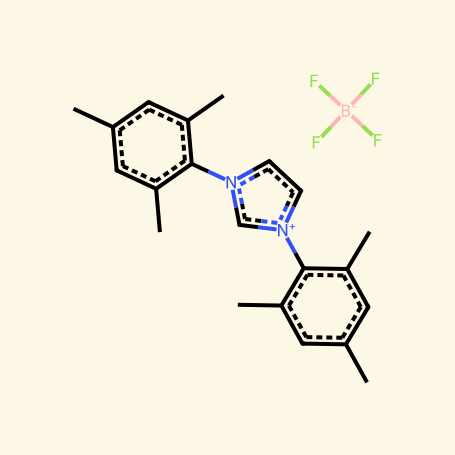 Cc1cc(C)c(-n2cc[n+](-c3c(C)cc(C)cc3C)c2)c(C)c1.F[B-](F)(F)F